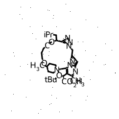 Cc1nc2cc3nn2c(c1[C@H](OC(C)(C)C)C(=O)O)N1CCC(C)(CC1)OCCCCOC(CC(C)C)c1cn(nn1)C3